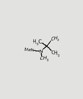 CNN(C)C(C)(C)C